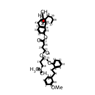 COc1cccc(CCc2ccccc2OC[C@H](CCN(C)C)OC(=O)CCC(=O)Oc2ccc3c(c2)[C@]24CCCC[C@@H]2[C@H](C3)C(C)CC4)c1